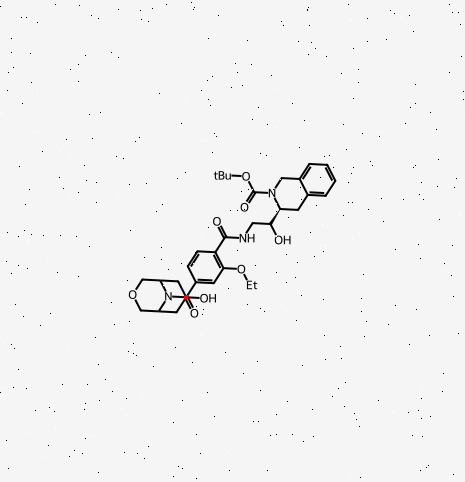 CCOc1cc(C(=O)N2C3COCC2CC(O)C3)ccc1C(=O)NCC(O)[C@@H]1Cc2ccccc2CN1C(=O)OC(C)(C)C